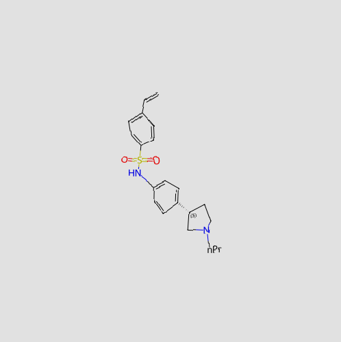 C=Cc1ccc(S(=O)(=O)Nc2ccc([C@@H]3CCN(CCC)C3)cc2)cc1